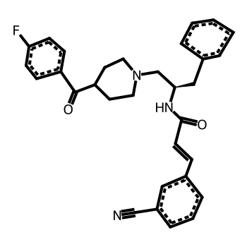 N#Cc1cccc(C=CC(=O)N[C@H](Cc2ccccc2)CN2CCC(C(=O)c3ccc(F)cc3)CC2)c1